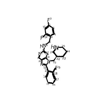 Fc1ccc(CNc2ncc3nc(-c4ccccc4I)n(C[C@@H]4CCCNC4)c3n2)c(F)c1